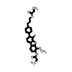 C=CC(=O)OCCCc1ccc(-c2ccc3c(sc4c(OC)c(OC(=O)C=C)ccc43)c2F)cc1